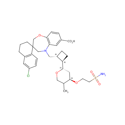 CC1CO[C@H]([C@@H]2CC[C@H]2CN2CC3(CCCc4cc(Cl)ccc43)COc3ccc(C(=O)O)cc32)C[C@H]1OCCS(N)(=O)=O